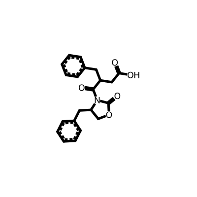 O=C(O)CC(Cc1ccccc1)C(=O)N1C(=O)OCC1Cc1ccccc1